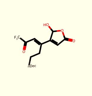 CCCCCCCCCCCC/C(=C\C(=O)C(F)(F)F)C1=CC(=O)OC1O